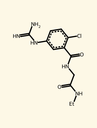 [CH2]CNC(=O)CNC(=O)c1cc(NC(=N)N)ccc1Cl